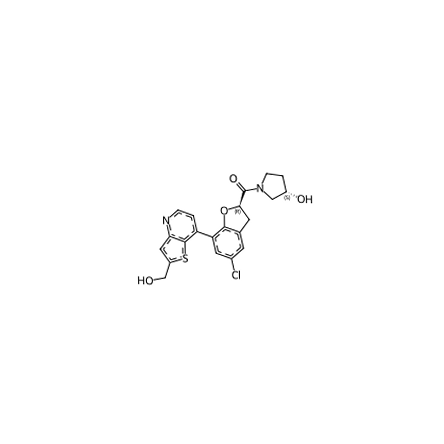 O=C([C@H]1Cc2cc(Cl)cc(-c3ccnc4cc(CO)sc34)c2O1)N1CC[C@H](O)C1